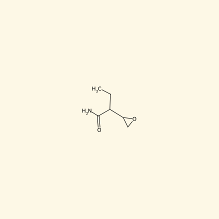 CCC(C(N)=O)C1CO1